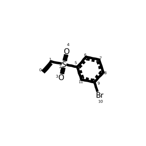 C=CS(=O)(=O)c1cc[c]c(Br)c1